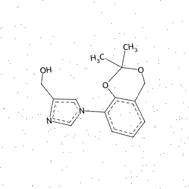 CC1(C)OCc2cccc(-n3cnc(CO)c3)c2O1